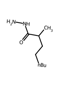 CCCCCCC(C)C(=O)NN